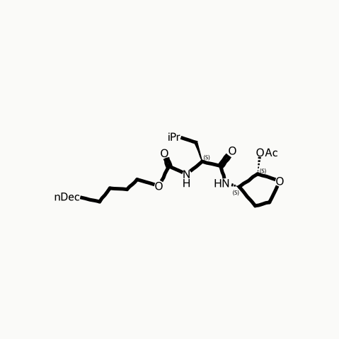 CCCCCCCCCCCCCCOC(=O)N[C@@H](CC(C)C)C(=O)N[C@H]1CCO[C@H]1OC(C)=O